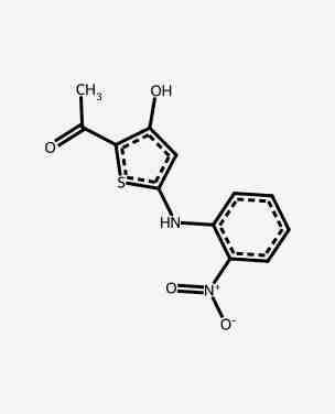 CC(=O)c1sc(Nc2ccccc2[N+](=O)[O-])cc1O